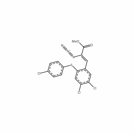 COC(=O)/C(=C/c1cc(Cl)c(Cl)cc1Sc1ccc(Cl)cc1)N=[N+]=[N-]